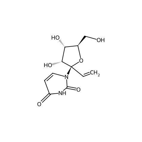 C=C[C@@]1(n2ccc(=O)[nH]c2=O)O[C@H](CO)[C@@H](O)[C@H]1O